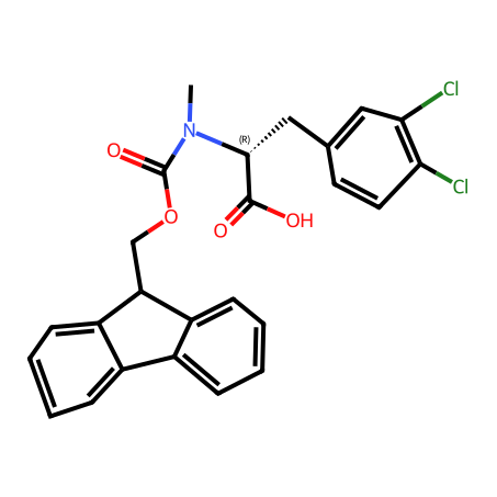 CN(C(=O)OCC1c2ccccc2-c2ccccc21)[C@H](Cc1ccc(Cl)c(Cl)c1)C(=O)O